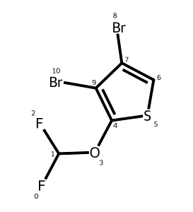 FC(F)Oc1scc(Br)c1Br